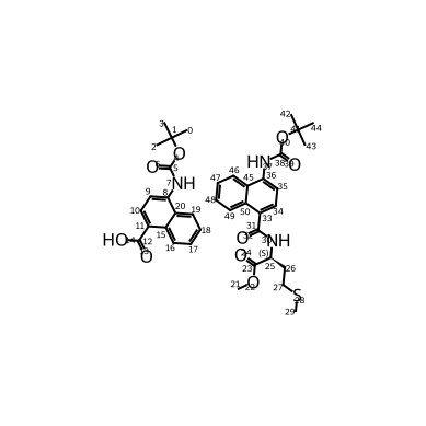 CC(C)(C)OC(=O)Nc1ccc(C(=O)O)c2ccccc12.COC(=O)[C@H](CCSC)NC(=O)c1ccc(NC(=O)OC(C)(C)C)c2ccccc12